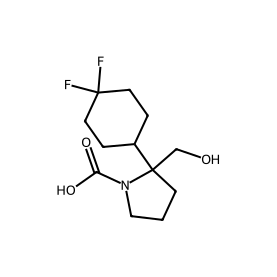 O=C(O)N1CCCC1(CO)C1CCC(F)(F)CC1